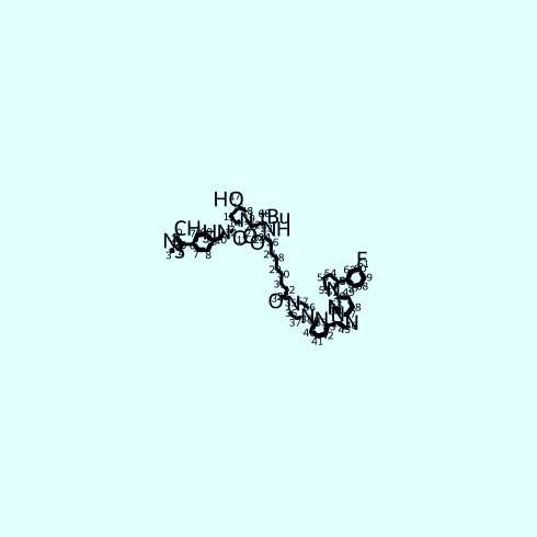 Cc1ncsc1-c1ccc(CNC(=O)[C@@H]2C[C@@H](O)CN2C(=O)[C@@H](NC(=O)CCCCCCCC(=O)N2CCN(c3cccc(-c4cnc5ccc(N6CCCC6c6cccc(F)c6)nn45)n3)CC2)C(C)(C)C)cc1